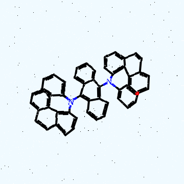 c1ccc(N(c2c3ccccc3c(N(c3ccccc3)c3cccc4ccc5ccccc5c34)c3ccccc23)c2cccc3ccc4ccccc4c23)cc1